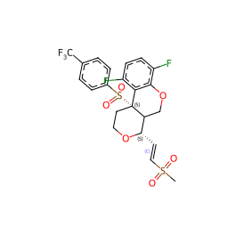 CS(=O)(=O)/C=C/[C@@H]1OCC[C@@]2(S(=O)(=O)c3ccc(C(F)(F)F)cc3)c3c(F)ccc(F)c3OCC12